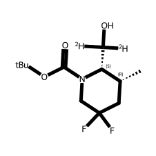 [2H]C([2H])(O)[C@@H]1[C@H](C)CC(F)(F)CN1C(=O)OC(C)(C)C